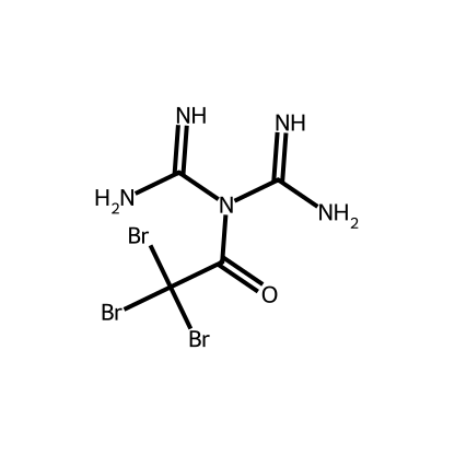 N=C(N)N(C(=N)N)C(=O)C(Br)(Br)Br